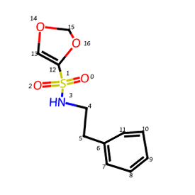 O=S(=O)(NCCc1ccccc1)C1=COCO1